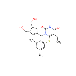 CCc1c(Sc2cc(C)cc(C)c2)n(CC2=CC(CO)C(CO)C2)c(=O)[nH]c1=O